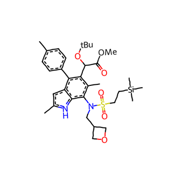 COC(=O)C(OC(C)(C)C)c1c(C)c(N(CC2COC2)S(=O)(=O)CC[Si](C)(C)C)c2[nH]c(C)cc2c1-c1ccc(C)cc1